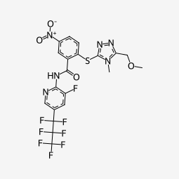 COCc1nnc(Sc2ccc([N+](=O)[O-])cc2C(=O)Nc2ncc(C(F)(F)C(F)(F)C(F)(F)F)cc2F)n1C